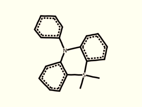 CS1(C)c2ccccc2N(c2ccccc2)c2ccccc21